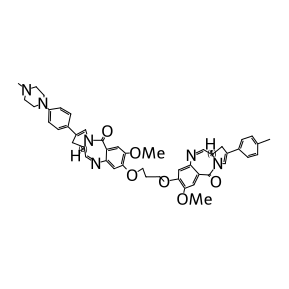 COc1cc2c(cc1OCCCOc1cc3c(cc1OC)C(=O)N1C=C(c4ccc(N5CCN(C)CC5)cc4)C[C@H]1C=N3)N=C[C@@H]1CC(c3ccc(C)cc3)=CN1C2=O